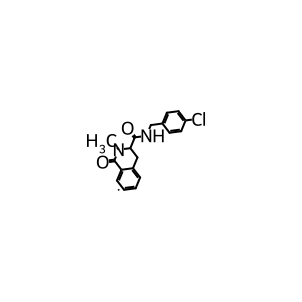 CN1C(=O)c2c[c]ccc2CC1C(=O)NCc1ccc(Cl)cc1